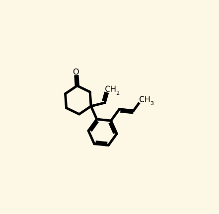 C=CC1(c2ccccc2C=CC)CCCC(=O)C1